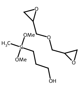 C(OCC1CO1)C1CO1.CO[Si](C)(CCCO)OC